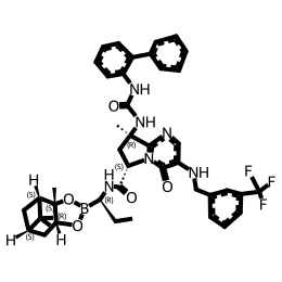 CC[C@H](NC(=O)[C@@H]1C[C@@](C)(NC(=O)Nc2ccccc2-c2ccccc2)c2ncc(NCc3cccc(C(F)(F)F)c3)c(=O)n21)B1O[C@@H]2C[C@@H]3C[C@@H](C3(C)C)[C@]2(C)O1